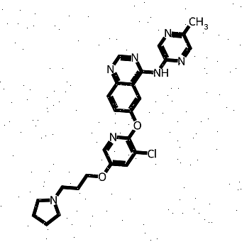 Cc1cnc(Nc2ncnc3ccc(Oc4ncc(OCCCN5CCCC5)cc4Cl)cc23)cn1